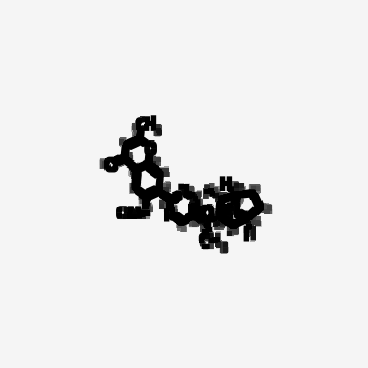 COc1cc2c(=O)cc(C)oc2cc1-c1ncc(N(C)[C@H]2C[C@@H]3CC[C@H]([C@H]2F)N3C(=O)O)nn1